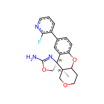 C[C@@]12COCCC1Oc1ccc(-c3cccnc3F)cc1[C@@]21COC(N)=N1